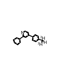 [2H]C([2H])([2H])c1ccc(-c2ccnc(-c3ccccc3)c2)cc1